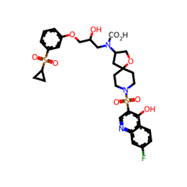 O=C(O)N(CC(O)COc1cccc(S(=O)(=O)C2CC2)c1)C1COC2(CCN(S(=O)(=O)c3cnc4cc(F)ccc4c3O)CC2)C1